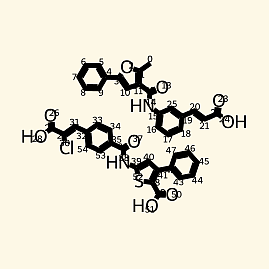 Cc1oc(-c2ccccc2)cc1C(=O)Nc1cccc(C=CC(=O)O)c1.O=C(O)/C(Cl)=C/c1ccc(C(=O)Nc2cc(-c3ccccc3)c(C(=O)O)s2)cc1